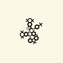 Cc1cc2c3c(c1)N(c1ccc(C(C)(C)C)cc1)c1c(oc4cc5c(cc14)C(C)(C)CCC5(C)C)B3c1cc3c(cc1N2c1cccc2c1-c1ccccc1C2(C)C)C(C)(C)CCC3(C)C